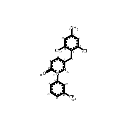 Nc1cc(Cl)c(Cc2ccc(=O)n(-c3cccc(C(F)(F)F)c3)n2)c(Cl)c1